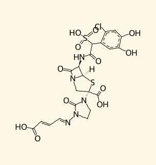 O=C(O)C=CC=NN1CCN([C@]2(C(=O)O)CN3C(=O)[C@@H](NC(=O)C(c4cc(O)c(O)cc4Cl)S(=O)(=O)O)[C@H]3S2)C1=O